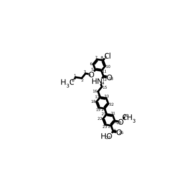 CCCCOc1ccc(Cl)cc1C(=O)NCCc1ccc(-c2ccc(C(=O)O)c(OC)c2)cc1